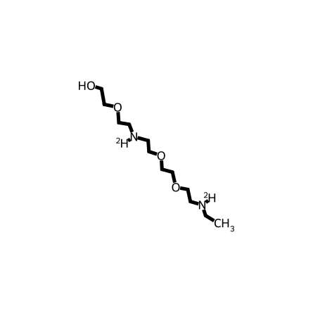 [2H]N(CC)CCOCCOCCN([2H])CCOCCO